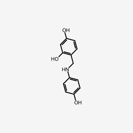 Oc1ccc(NCc2ccc(O)cc2O)cc1